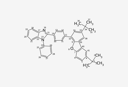 CC(C)(C)c1ccc2oc3c(-c4ccc(-c5nc6ccccc6n5-c5ccccc5)cc4)cc(C(C)(C)C)cc3c2c1